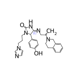 C=C(C/N=C1/NC(=O)N(CCCn2ccnc2)C1c1ccc(O)cc1)N1CCc2ccccc2C1